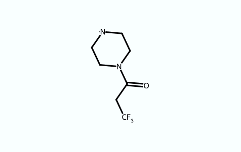 O=C(CC(F)(F)F)N1CC[N]CC1